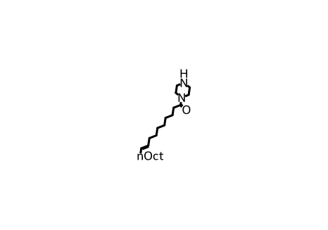 CCCCCCCCC=CCCCCCCCC(=O)N1CCNCC1